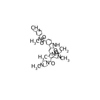 C=CC(=O)N(C)Cc1[nH]c(/C=C2\C(=O)Nc3ccc(S(=O)(=O)N(C)c4cccc(CC)c4)cc32)c(C)c1C(=O)N1CCN(C)CC1